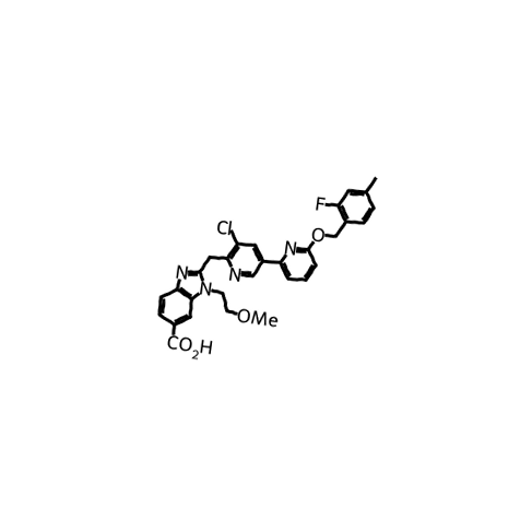 COCCn1c(Cc2ncc(-c3cccc(OCc4ccc(C)cc4F)n3)cc2Cl)nc2ccc(C(=O)O)cc21